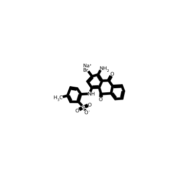 Cc1ccc(Nc2cc(Br)c(N)c3c2C(=O)c2ccccc2C3=O)c(S(=O)(=O)[O-])c1.[Na+]